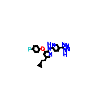 Fc1ccc(Oc2cc(CCC3CC3)cnc2Nc2ccc(-c3nnn[nH]3)cn2)cc1